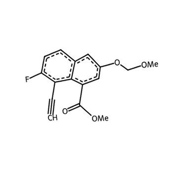 C#Cc1c(F)ccc2cc(OCOC)cc(C(=O)OC)c12